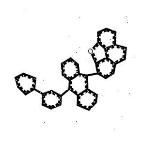 c1ccc(-c2cccc(-c3c4ccccc4c(-c4ccc5ccc6cccc7oc4c5c67)c4ccccc34)c2)cc1